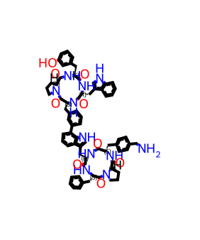 NCc1ccc(C[C@@H]2NC(=O)[C@H]3CCCN3C(=O)[C@H](Cc3ccccc3)NC(=O)[C@@H](Cc3c[nH]c4c(-c5cccc(C[C@@H]6NC(=O)[C@@H](Cc7c[nH]c8ccccc78)NC(=O)[C@H](Cc7cccc(O)c7)NC(=O)[C@H]7CCCN7C6=O)c5)cccc34)NC2=O)cc1